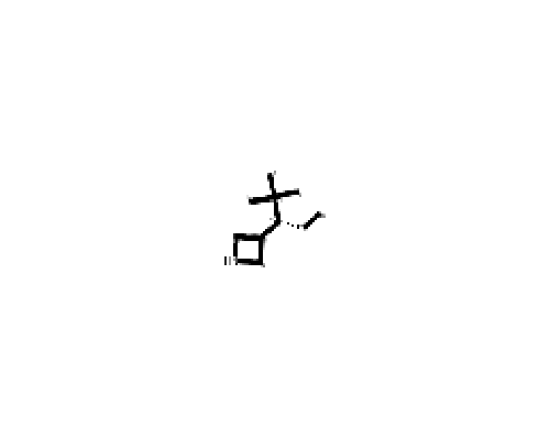 CC[C@H](C1CNC1)C(C)(C)C